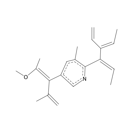 C=CC(=C\C)/C(=C/C)c1ncc(/C(C(=C)C)=C(\C)OC)cc1C